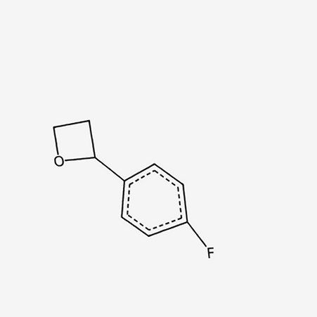 Fc1ccc(C2CCO2)cc1